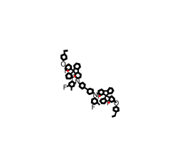 C=Cc1ccc(Oc2ccc(C3(c4c(F)cccc4F)c4ccccc4-c4ccc(N(c5ccc(-c6ccc(N(c7ccc(F)c(C)c7)c7ccc8c(c7)C(c7ccc(Oc9ccc(C=C)cc9)cc7)(c7c(F)cccc7F)c7ccccc7-8)cc6)cc5)c5ccc(F)c(C)c5)cc43)cc2)cc1